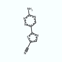 N#Cc1cnc(-c2cnc(N)nn2)s1